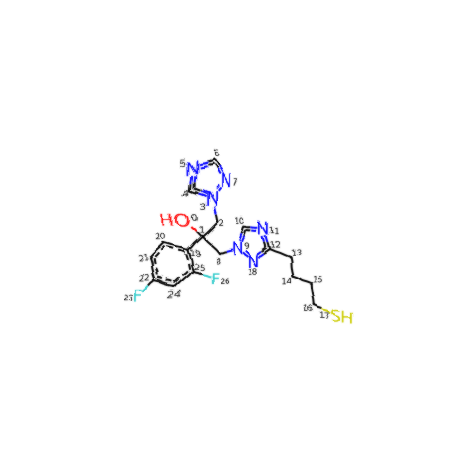 OC(Cn1cncn1)(Cn1cnc(CCCCS)n1)c1ccc(F)cc1F